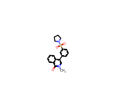 Cn1cc(-c2cccc(S(=O)(=O)N3CCCC3)c2)c2ccccc2c1=O